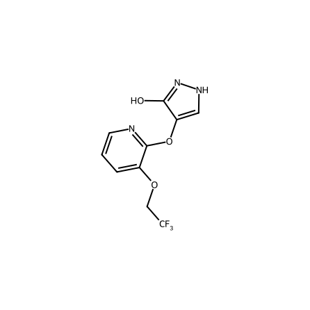 Oc1n[nH]cc1Oc1ncccc1OCC(F)(F)F